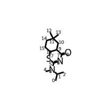 CC(C)N(C)C1=NC(=O)C2CC(C)(C)CCC2S1